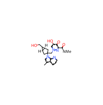 CNC(=O)c1nn(CC2(n3cc(C)c4cccnc43)C[C@@H]3C(CO)[C@@H]3C2)cc(O)c1=O